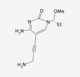 CC[C@@H](OC)n1cc(C#CCN)c(N)nc1=O